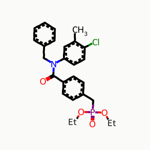 CCOP(=O)(Cc1ccc(C(=O)N(Cc2ccccc2)c2ccc(Cl)c(C)c2)cc1)OCC